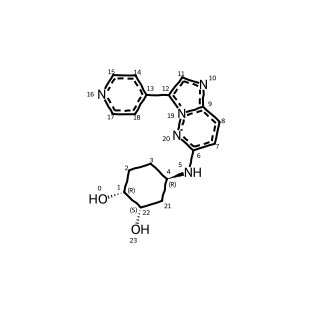 O[C@@H]1CC[C@@H](Nc2ccc3ncc(-c4ccncc4)n3n2)C[C@@H]1O